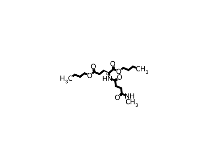 CCCCOC(=O)CC[C@H](NC(=O)CCC(=O)NC)C(=O)OCCCC